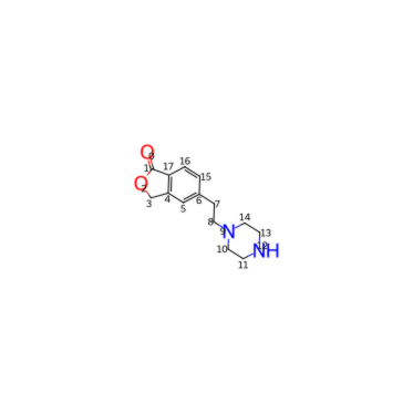 O=C1OCc2cc(CCN3CCNCC3)ccc21